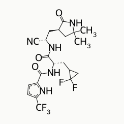 CC1(C)C[C@@H](C[C@@H](C#N)NC(=O)[C@H](CC2CC2(F)F)NC(=O)c2ccc(C(F)(F)F)[nH]2)C(=O)N1